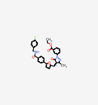 CCOC(=O)c1cccc(N2N=C(C)/C(=C/c3ccc(-c4ccc(C(=O)NCc5ccc(F)cc5)cc4)o3)C2=O)c1